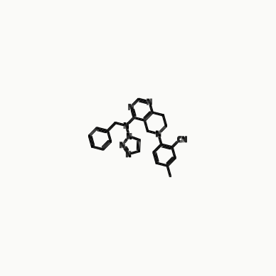 Cc1ccc(N2CCc3ncnc(N(Cc4ccccc4)n4ccnn4)c3C2)c(C#N)c1